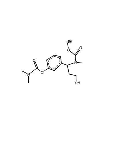 CN(C)C(=O)Oc1cccc(C(CCO)N(C)C(=O)OC(C)(C)C)c1